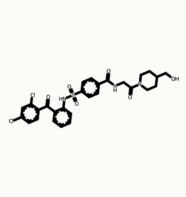 O=C(NCC(=O)N1CCC(CO)CC1)c1ccc(S(=O)(=O)Nc2ccccc2C(=O)c2ccc(Cl)cc2Cl)cc1